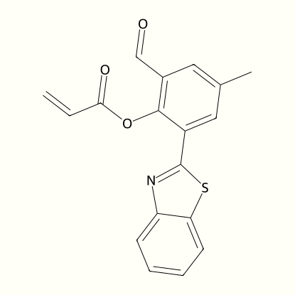 C=CC(=O)Oc1c(C=O)cc(C)cc1-c1nc2ccccc2s1